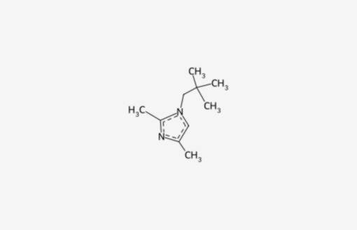 Cc1cn(CC(C)(C)C)c(C)n1